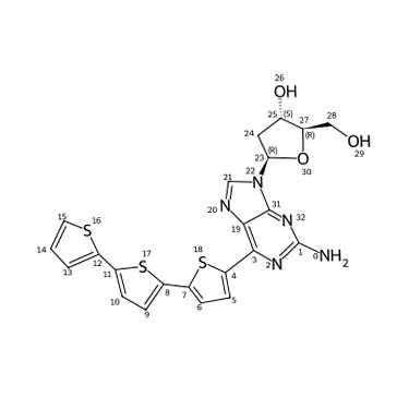 Nc1nc(-c2ccc(-c3ccc(-c4cccs4)s3)s2)c2ncn([C@H]3C[C@H](O)[C@@H](CO)O3)c2n1